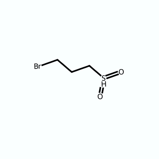 O=[SH](=O)CCCBr